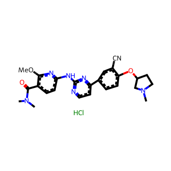 COc1nc(Nc2nccc(-c3ccc(OC4CCN(C)C4)c(C#N)c3)n2)ccc1C(=O)N(C)C.Cl